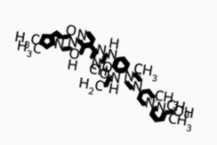 C=CC(=O)Nc1cc(Nc2nc(-c3ccnc(N4CCn5c(cc6c5CC(C)(C)C6)C4=O)c3CO)cn(C)c2=O)ccc1N1CCN(C2CCN(c3cccc(C(C)(C)O)n3)[C@H](C)C2)C[C@@H]1C